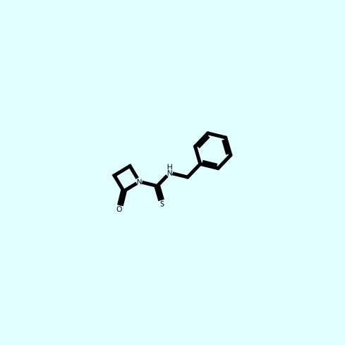 O=C1CCN1C(=S)NCc1ccccc1